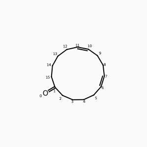 O=C1CCCCC=CCCC=CCCCC1